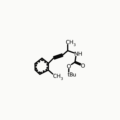 Cc1ccccc1C#CC(C)NC(=O)OC(C)(C)C